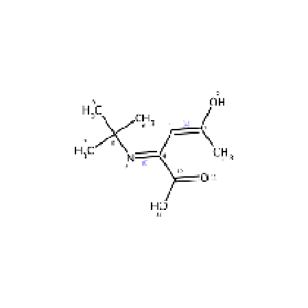 C/C(O)=C\C(=N/C(C)(C)C)C(=O)O